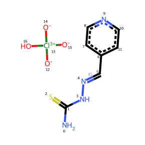 NC(=S)N/N=C/c1ccncc1.[O-][Cl+3]([O-])([O-])O